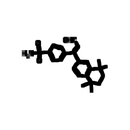 CC1(C)CCC(C)(C)c2cc(C(=CC=O)c3ccc(S(N)(=O)=O)cc3)ccc21